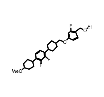 CCOCc1ccc(OCC2CCC(c3ccc(C4CCC(OC)CC4)c(F)c3F)CC2)cc1F